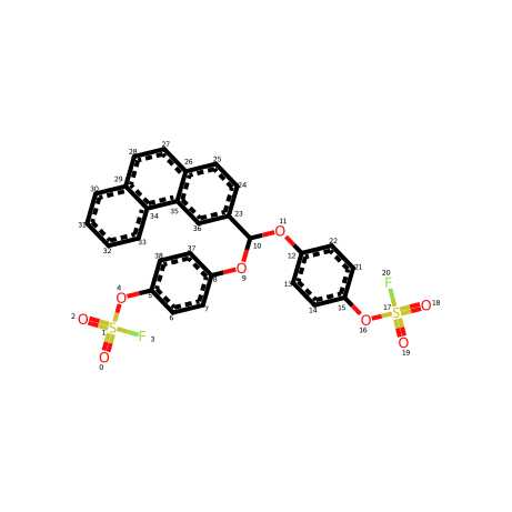 O=S(=O)(F)Oc1ccc(OC(Oc2ccc(OS(=O)(=O)F)cc2)c2ccc3ccc4ccccc4c3c2)cc1